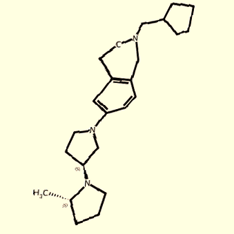 C[C@H]1CCCN1[C@H]1CCN(c2ccc3c(c2)CCN(CC2CCCC2)C3)C1